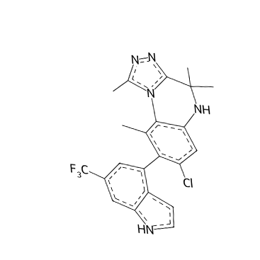 Cc1c(-c2cc(C(F)(F)F)cc3[nH]ccc23)c(Cl)cc2c1-n1c(C)nnc1C(C)(C)N2